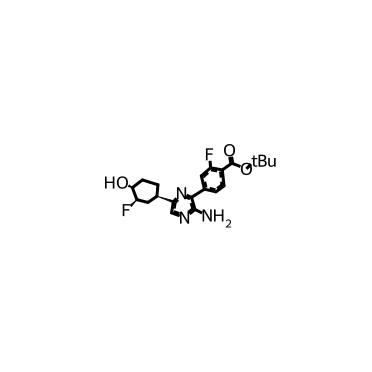 CC(C)(C)OC(=O)c1ccc(-c2nc([C@@H]3CC[C@H](O)[C@H](F)C3)cnc2N)cc1F